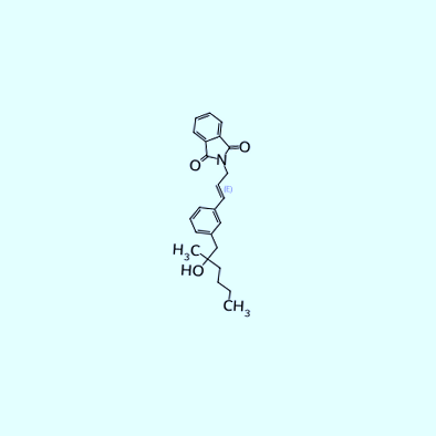 CCCCC(C)(O)Cc1cccc(/C=C/CN2C(=O)c3ccccc3C2=O)c1